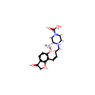 COc1ccc2c(c1/C=C\CCN1CCN(C(=O)O)CC1)OCC2=O